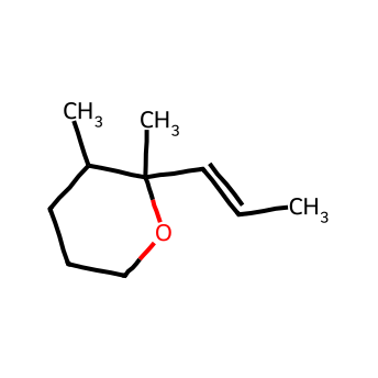 CC=CC1(C)OCCCC1C